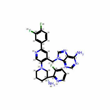 Nc1ncnc2c1ncn2Cc1cc(-c2ccc(F)c(F)c2)ncc1N1CCC[C@](N)(c2ncccc2F)C1